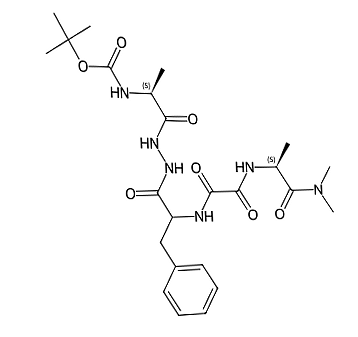 C[C@H](NC(=O)OC(C)(C)C)C(=O)NNC(=O)C(Cc1ccccc1)NC(=O)C(=O)N[C@@H](C)C(=O)N(C)C